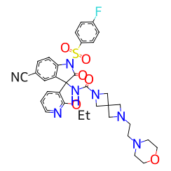 CCOc1ncccc1C1(NC(=O)N2CC3(CN(CCN4CCOCC4)C3)C2)C(=O)N(S(=O)(=O)c2ccc(F)cc2)c2ccc(C#N)cc21